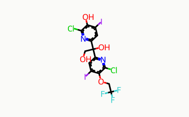 OCC(O)(c1cc(I)c(O)c(Cl)n1)c1cc(I)c(OCC(F)(F)F)c(Cl)n1